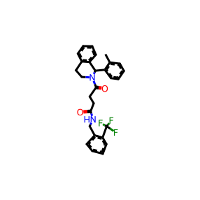 Cc1ccccc1C1c2ccccc2CCN1C(=O)CCC(=O)NCc1ccccc1C(F)(F)F